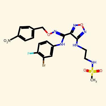 CS(=O)(=O)NCCNc1nonc1/C(=N/OCc1ccc([N+](=O)[O-])cc1)Nc1ccc(F)c(Br)c1